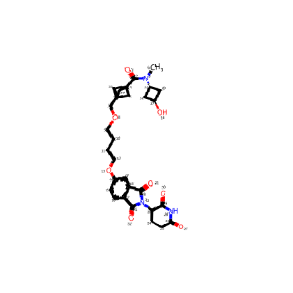 CN(C(=O)C12CC(COCCCCOc3ccc4c(c3)C(=O)N(C3CCC(=O)NC3=O)C4=O)(C1)C2)[C@H]1C[C@H](O)C1